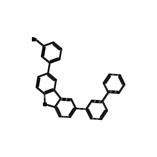 Brc1cccc(-c2ccc3oc4ccc(-c5cccc(-c6ccccc6)c5)cc4c3c2)c1